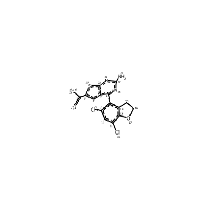 CCC(=O)c1cc2c(-c3c(Cl)cc(Cl)c4c3CCO4)nc(N)nc2s1